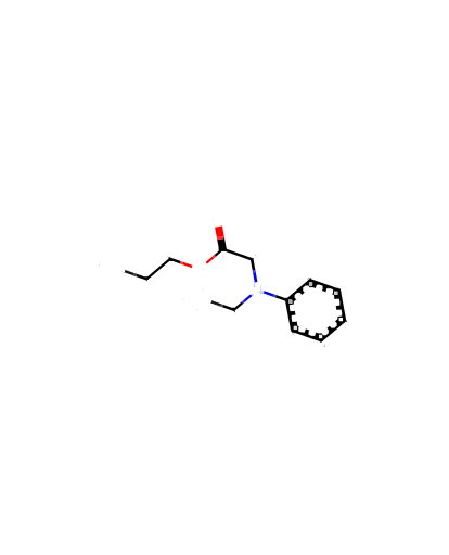 CC(=O)OCCOC(=O)CN(CC(=O)O)c1ccccc1